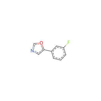 Fc1cccc(-c2cnco2)c1